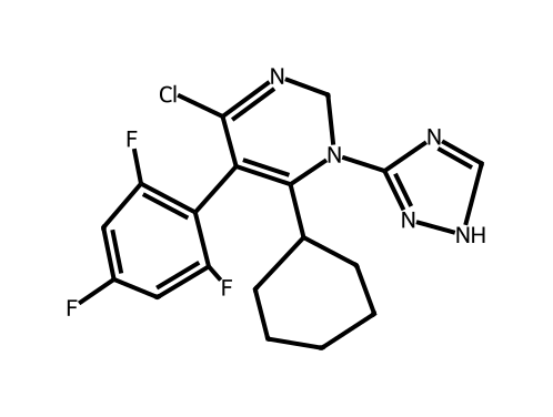 Fc1cc(F)c(C2=C(C3CCCCC3)N(c3nc[nH]n3)CN=C2Cl)c(F)c1